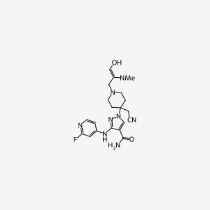 CN/C(=C\O)CN1CCC(CC#N)(n2cc(C(N)=O)c(Nc3ccnc(F)c3)n2)CC1